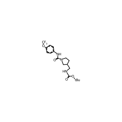 CC(C)(C)OC(=O)NCC1CCN(C(=O)Nc2ccc(OC(F)(F)F)cc2)C1